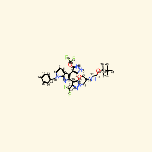 Cn1cc(-c2c3cccn(Cc4ccccc4)c-3nc2-c2c(C(F)F)nn3c2OC[C@@H](NCCO[Si](C)(C)C(C)(C)C)C3)c(OC(F)F)n1